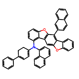 C1=C(c2ccccc2)CCC(N(c2cccc3ccccc23)c2cccc3oc4c(-c5ccc6ccccc6c5)c5c(cc4c23)oc2ccccc25)=C1